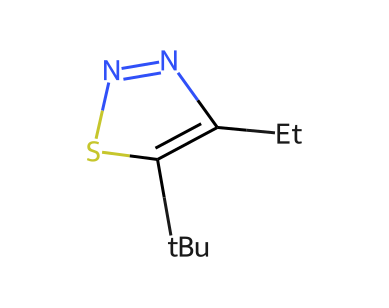 CCc1nnsc1C(C)(C)C